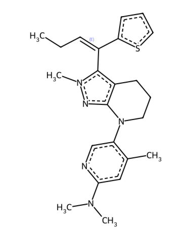 CC/C=C(/c1cccs1)c1c2c(nn1C)N(c1cnc(N(C)C)cc1C)CCC2